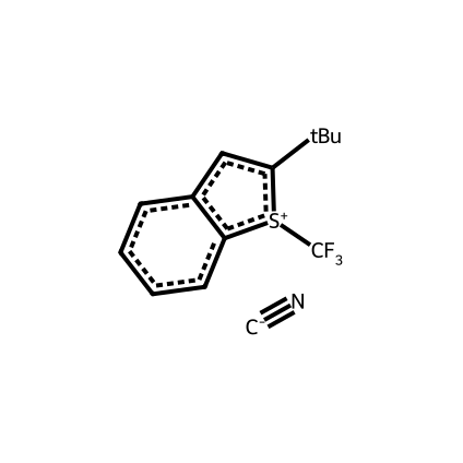 CC(C)(C)c1cc2ccccc2[s+]1C(F)(F)F.[C-]#N